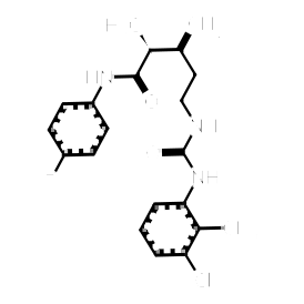 C=C(CCNC(=O)Nc1cccc(Cl)c1C)[C@H](C)C(=O)Nc1ccc(F)cc1